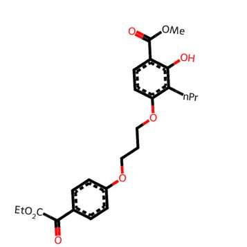 CCCc1c(OCCCOc2ccc(C(=O)C(=O)OCC)cc2)ccc(C(=O)OC)c1O